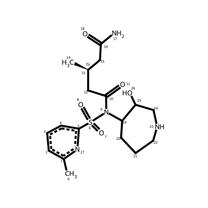 Cc1cccc(S(=O)(=O)N(C(=O)C[C@@H](C)CC(N)=O)C2CCCNCC2O)n1